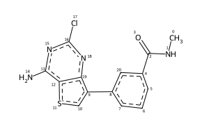 CNC(=O)c1cccc(-c2csc3c(N)nc(Cl)nc23)c1